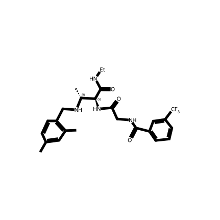 CCNC(=O)[C@@H](NC(=O)CNC(=O)c1cccc(C(F)(F)F)c1)[C@@H](C)NCc1ccc(C)cc1C